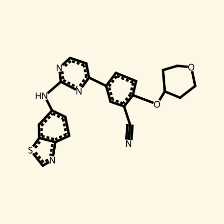 N#Cc1cc(-c2ccnc(Nc3ccc4ncsc4c3)n2)ccc1OC1CCOCC1